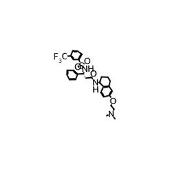 CN(C)CCOc1ccc2c(c1)CCCC2NC(=O)C[C@@H](NS(=O)(=O)c1cccc(C(F)(F)F)c1)c1ccccc1